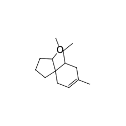 CCC1CC(C)=CCC12CCCC2OC